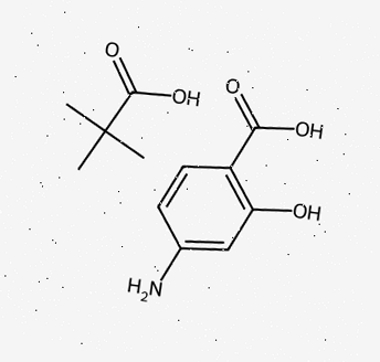 CC(C)(C)C(=O)O.Nc1ccc(C(=O)O)c(O)c1